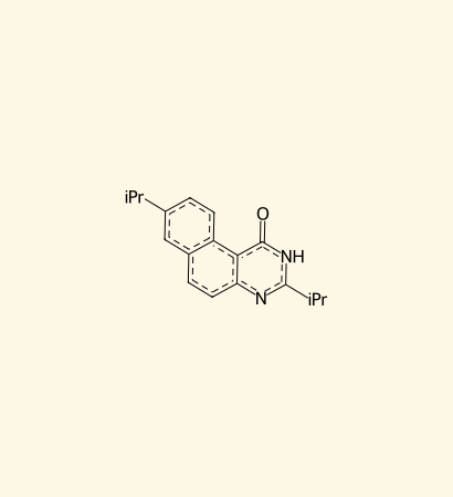 CC(C)c1ccc2c(ccc3nc(C(C)C)[nH]c(=O)c32)c1